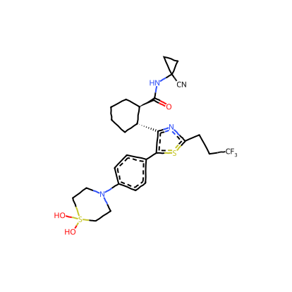 N#CC1(NC(=O)[C@@H]2CCCC[C@H]2c2nc(CCC(F)(F)F)sc2-c2ccc(N3CCS(O)(O)CC3)cc2)CC1